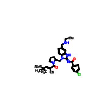 CNC(C)(C)/C=C(\C#N)C(=O)N1CCCC1Cn1/c(=N/C(=O)c2ccc(Cl)cc2)[nH]c2cc(CNCC(C)(C)C)ccc21